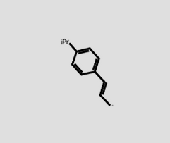 [CH2]/C=C/c1ccc(C(C)C)cc1